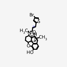 CN(C(=O)/C=C/c1cc(Br)cs1)C1CCC2Oc3c(O)ccc4c3[C@@]23CCN(C)[C@H](C4)[C@]13O